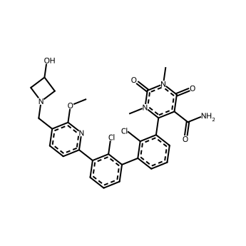 COc1nc(-c2cccc(-c3cccc(-c4c(C(N)=O)c(=O)n(C)c(=O)n4C)c3Cl)c2Cl)ccc1CN1CC(O)C1